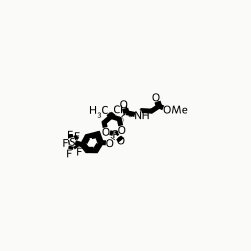 COC(=O)CCNC(=O)[C@@H]1OP(=O)(Oc2ccc(S(F)(F)(F)(F)F)cc2)OCC1(C)C